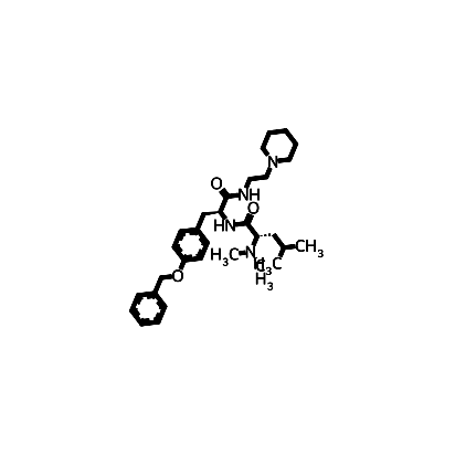 CC(C)C[C@@H](C(=O)N[C@@H](Cc1ccc(OCc2ccccc2)cc1)C(=O)NCCN1CCCCC1)N(C)C